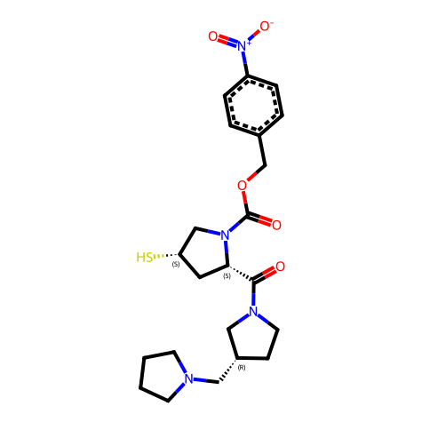 O=C([C@@H]1C[C@H](S)CN1C(=O)OCc1ccc([N+](=O)[O-])cc1)N1CC[C@H](CN2CCCC2)C1